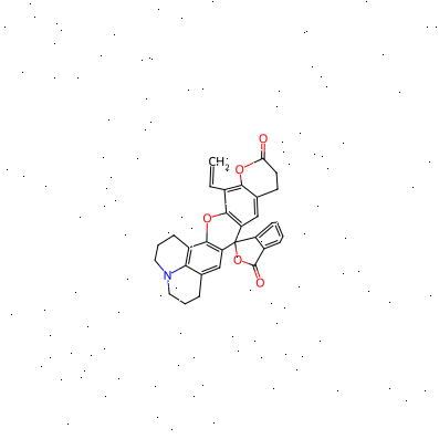 C=Cc1c2c(cc3c1Oc1c(cc4c5c1CCCN5CCC4)C31OC(=O)c3ccccc31)CCC(=O)O2